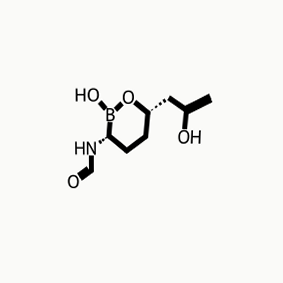 C=C(O)C[C@@H]1CC[C@H](NC=O)B(O)O1